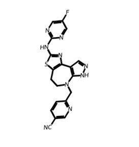 N#Cc1ccc(CN2CCc3sc(Nc4ncc(F)cn4)nc3-c3cn[nH]c32)nc1